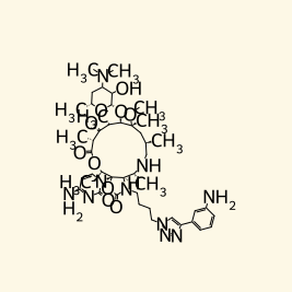 CC[C@H]1OC(=O)[C@H](C)C(=O)[C@H](C)[C@@H](O[C@@H]2O[C@H](C)CC(N(C)C)C2O)[C@](C)(OC)C[C@@H](C)CN[C@H](C)[C@H]2N(CCCCn3cc(-c4cccc(N)c4)nn3)C(=O)O[C@]12n1ccc(N)nc1=O